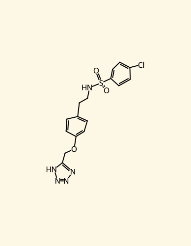 O=S(=O)(NCCc1ccc(OCc2nnn[nH]2)cc1)c1ccc(Cl)cc1